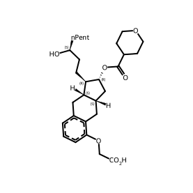 CCCCC[C@H](O)CC[C@@H]1[C@H]2Cc3cccc(OCC(=O)O)c3C[C@H]2C[C@H]1OC(=O)C1CCOCC1